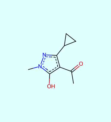 CC(=O)c1c(C2CC2)nn(C)c1O